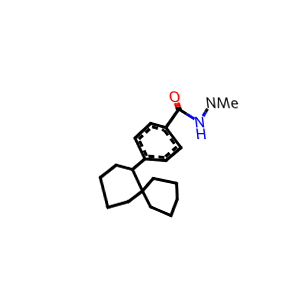 CNNC(=O)c1ccc(C2CCCCC23CCCCC3)cc1